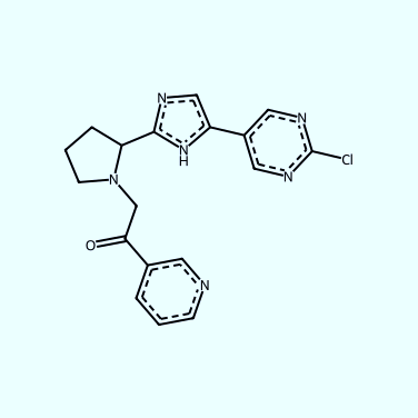 O=C(CN1CCCC1c1ncc(-c2cnc(Cl)nc2)[nH]1)c1cccnc1